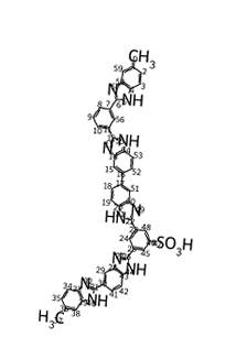 Cc1ccc2[nH]c(-c3cccc(-c4nc5cc(-c6ccc7[nH]c(-c8cc(-c9nc%10cc(-c%11nc%12ccc(C)cc%12[nH]%11)ccc%10[nH]9)cc(S(=O)(=O)O)c8)nc7c6)ccc5[nH]4)c3)nc2c1